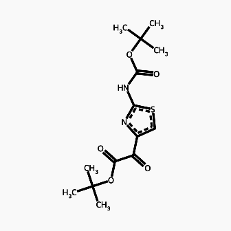 CC(C)(C)OC(=O)Nc1nc(C(=O)C(=O)OC(C)(C)C)cs1